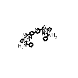 N[C@@H](C(=O)N1CCC[C@H]1c1ncc(-c2ccc(-c3ccc(-c4cnc([C@@H]5CCCN5C(=O)[C@H](N)c5ccccc5)[nH]4)cn3)cc2)[nH]1)c1ccccc1